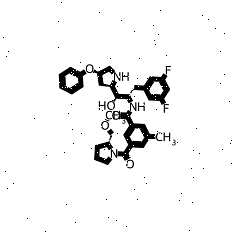 COC[C@H]1CCCN1C(=O)c1cc(C)cc(C(=O)N[C@@H](Cc2cc(F)cc(F)c2)[C@H](O)[C@H]2C[C@@H](Oc3ccccc3)CN2)c1